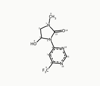 CN1CC(O)N(c2cc(C(F)(F)F)ncn2)C1=O